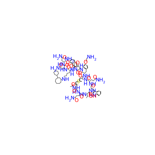 CC(=O)NC1CCSCC(C(=O)NC(Cc2ccc(OCCN)cc2)C(=O)NC(Cc2ccc3ccccc3c2)C(=O)NC2(C(=O)NC(CCCCNC3CCCCCC(C4CCCCC4)C3)C(=O)NC(CC(N)=O)C(=O)NC(CC(N)=O)C(N)=O)CCOCC2)NC(=O)C(CCC(N)=O)NC(=O)C(Cc2c[nH]c3ccccc23)NC(=O)C(C(C)O)NC(=O)C(CCC(N)=O)NC1=O